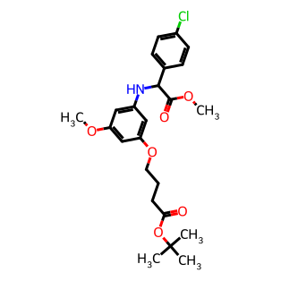 COC(=O)C(Nc1cc(OC)cc(OCCCC(=O)OC(C)(C)C)c1)c1ccc(Cl)cc1